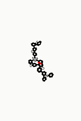 c1ccc(-c2nc(-c3ccc4c(c3)oc3cc(-c5cccc6sc7ccccc7c56)ccc34)nc(-c3cccc4oc5ccc(-c6cccc7oc8c(-c9ccc%10c(c9)c9ccccc9n%10-c9ccccc9)cccc8c67)cc5c34)n2)cc1